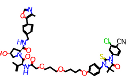 C=C(C)[C@H](NC(=O)COCCCOCCCCOc1ccc(N2C(=S)N(c3ccc(C#N)c(Cl)c3)C(=O)C2(C)C)cc1)C(=O)N1C[C@H](O)C[C@H]1C(=O)NCc1ccc(-c2ocnc2C)cc1